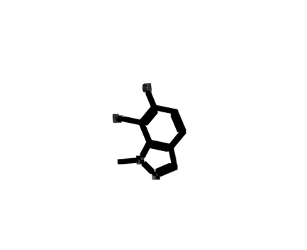 Cn1ncc2ccc(Cl)c(Br)c21